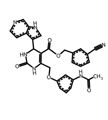 CC(=O)Nc1cccc(OCC2=C(C(=O)OCc3cccc(C#N)c3)C(c3c[nH]c4cnccc34)NC(=O)N2)c1